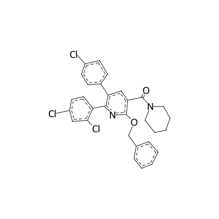 O=C(c1cc(-c2ccc(Cl)cc2)c(-c2ccc(Cl)cc2Cl)nc1OCc1ccccc1)N1CCCCC1